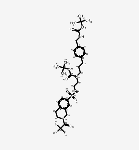 CC(C)(C)OC(=O)NCc1ccc(CCCN(CCNS(=O)(=O)c2ccc3c(c2)CN(C(=O)C(F)(F)F)CC3)C(=O)OC(C)(C)C)cc1